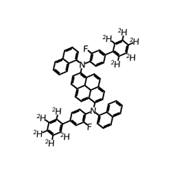 [2H]c1c([2H])c([2H])c(-c2ccc(N(C3=CC=C4C=CC5=C(N(c6ccc(-c7c([2H])c([2H])c([2H])c([2H])c7[2H])cc6F)c6cccc7ccccc67)C=CC6=CC=C3C4C65)c3cccc4ccccc34)c(F)c2)c([2H])c1[2H]